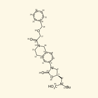 CC(C)(C)N(C[C@@H]1CN(c2ccc3c(c2)CCN(C(=O)COCc2ccccc2)C3)C(=O)O1)C(=O)O